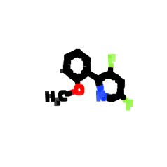 COc1[c]cccc1-c1ncc(F)cc1F